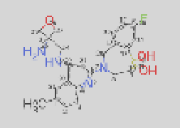 Cc1ccc2nc(N3CCS(O)(O)c4cc(F)ccc4C3)cc(NCC3(N)COC3)c2c1